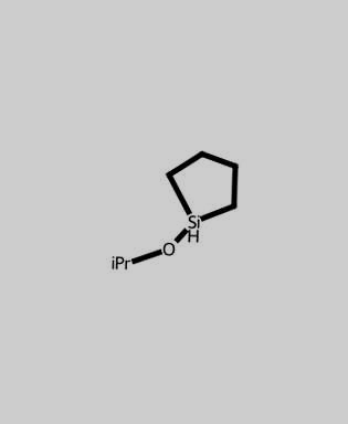 CC(C)O[SiH]1CCCC1